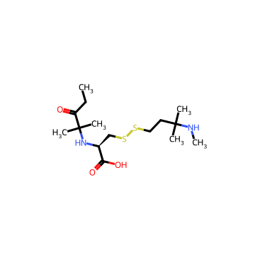 CCC(=O)C(C)(C)N[C@@H](CSSCCC(C)(C)NC)C(=O)O